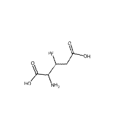 NC(C(=O)O)C([18F])CC(=O)O